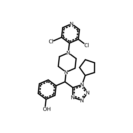 Oc1cccc(C(c2nnnn2C2CCCC2)N2CCN(c3c(Cl)cncc3Cl)CC2)c1